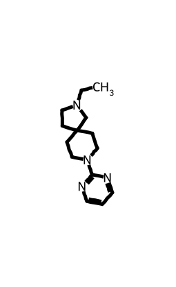 CCN1CCC2(CCN(c3ncccn3)CC2)C1